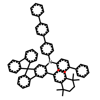 CC1(C)CCC(C)(C)c2cc(-c3cc4c(cc3N(c3ccc(-c5ccccc5)cc3)c3ccc(-c5ccc(-c6ccccc6)cc5)cc3)C3(c5ccccc5-c5ccccc53)c3ccccc3-4)ccc21